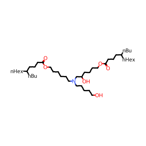 CCCCCCC(CCCC)CCCC(=O)OCCCCCCN(CCCCCO)CC(O)CCCCOC(=O)CCCC(CCCC)CCCCCC